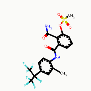 Cc1cc(C(F)(C(F)(F)F)C(F)(F)F)ccc1NC(=O)c1cccc(OS(C)(=O)=O)c1C(N)=O